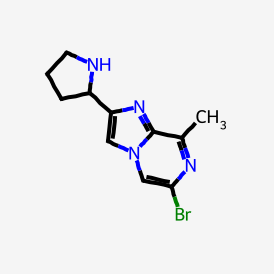 Cc1nc(Br)cn2cc(C3CCCN3)nc12